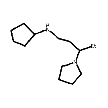 CCC(CCNC1CCCC1)N1CCCC1